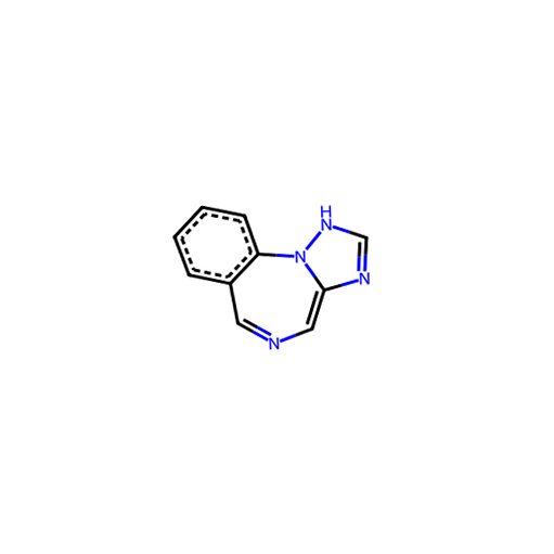 C1=NC=C2N=CNN2c2ccccc21